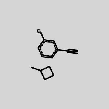 C#Cc1cccc(Cl)c1.CC1CCC1